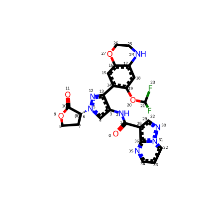 O=C(Nc1cn([C@@H]2CCOC2=O)nc1-c1cc2c(cc1OC(F)F)NCCO2)c1cnn2cccnc12